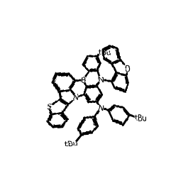 CC(C)(C)c1ccc(N(c2ccc(C(C)(C)C)cc2)c2cc3c4c(c2)-n2c5c(cccc5c5sc6ccccc6c52)B4c2ccc(C(C)(C)C)cc2N3c2cccc3oc4ccccc4c23)cc1